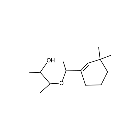 CC(OC(C)C(C)O)C1=CC(C)(C)CCC1